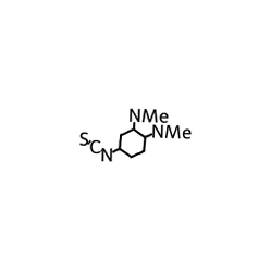 CNC1CCC(N=C=S)CC1NC